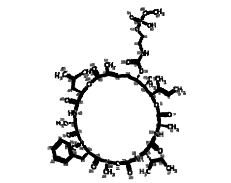 C/C=C(\C)[C@H]1OC(=O)[C@@H](C)NC(=O)[C@H](C(C)CC)NC(=O)CN(C)C(=O)[C@@H](Cc2ccccc2)N(C)C(=O)[C@H](C)NC(=O)[C@@H](CC(C)C)OC(=O)/C(C)=C/C[C@H](OC(=O)NCCOP(=O)(O)OC)[C@@H]1C